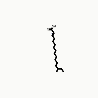 CCC(C)CCCCCCCCCC/C=C/C(=O)O